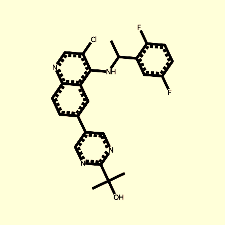 CC(Nc1c(Cl)cnc2ccc(-c3cnc(C(C)(C)O)nc3)cc12)c1cc(F)ccc1F